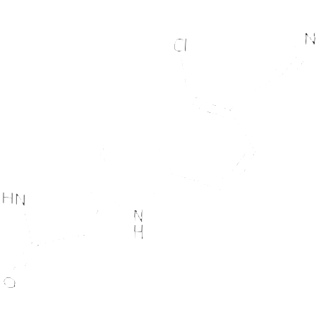 CC[C@@]1(Nc2ccc(C#N)c(Cl)c2)CNC(=O)C1